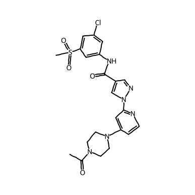 CC(=O)N1CCN(c2ccnc(-n3cc(C(=O)Nc4cc(Cl)cc(S(C)(=O)=O)c4)cn3)c2)CC1